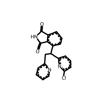 O=C1NC(=O)c2c1cccc2C(Cc1ccccn1)c1cccc(Cl)n1